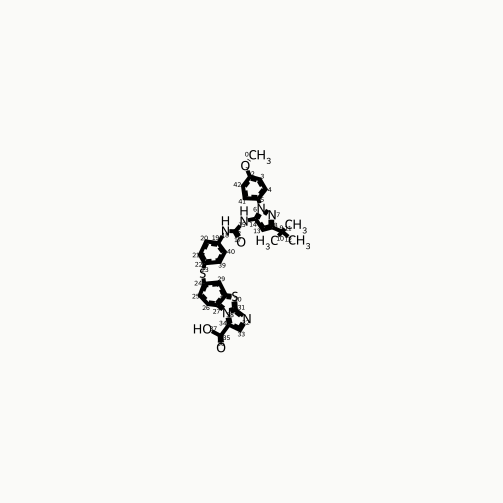 COc1ccc(-n2nc(C(C)(C)C)cc2NC(=O)Nc2ccc(Sc3ccc4c(c3)sc3ncc(C(=O)O)n34)cc2)cc1